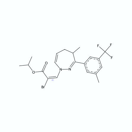 Cc1cc(C2=NN(/C=C(/Br)C(=O)OC(C)C)C=CCC2C)cc(C(F)(F)F)c1